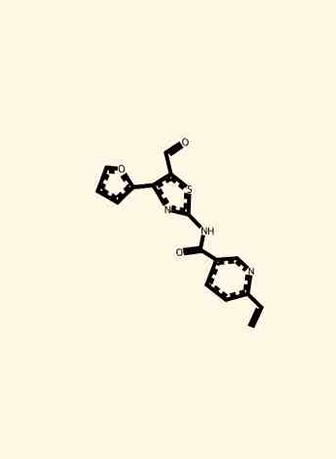 C=Cc1ccc(C(=O)Nc2nc(-c3ccco3)c(C=O)s2)cn1